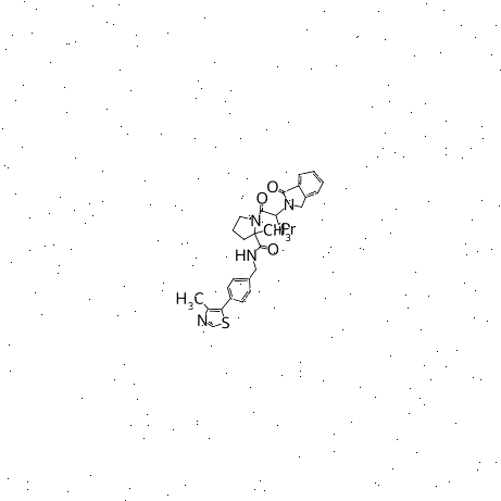 Cc1ncsc1-c1ccc(CNC(=O)C2(C)CCCN2C(=O)C(C(C)C)N2Cc3ccccc3C2=O)cc1